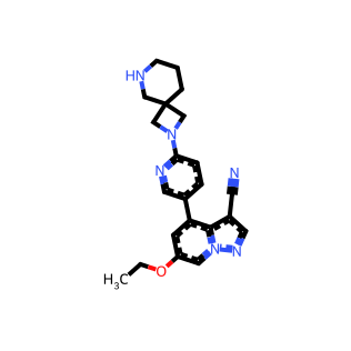 CCOc1cc(-c2ccc(N3CC4(CCCNC4)C3)nc2)c2c(C#N)cnn2c1